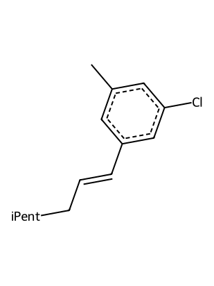 CCCC(C)C/C=C/c1cc(C)cc(Cl)c1